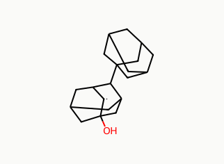 OC12[CH]C3CC(CC(C1)C3C13CC4CC(CC(C4)C1)C3)C2